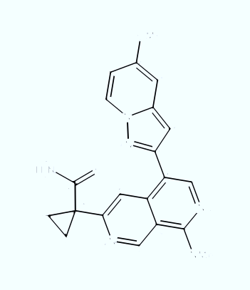 CNc1ncc(-c2cc3cc(OC)ccn3n2)c2cc(C3(C(N)=O)CC3)ncc12